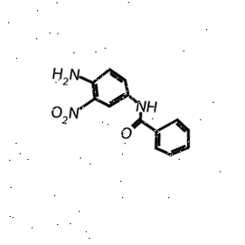 Nc1ccc(NC(=O)c2ccccc2)cc1[N+](=O)[O-]